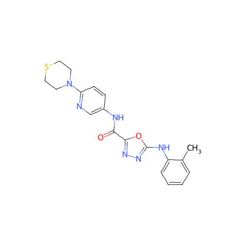 Cc1ccccc1Nc1nnc(C(=O)Nc2ccc(N3CCSCC3)nc2)o1